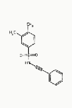 Cc1ccc(S(=O)(=O)NC#Cc2ccccc2)cc1C